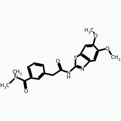 COc1cc2nc(NC(=O)Cc3cccc(C(=O)N(C)C)c3)sc2cc1OC